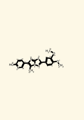 COc1ccc(-c2nn3c(C)c(-c4ccc(O)nc4)nc3s2)cc1OC